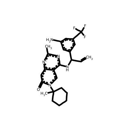 C=CC(Nc1nc(C)nc2cc(=O)n(C3(C)CCCCC3)cc12)c1cc(N)cc(C(F)(F)F)c1